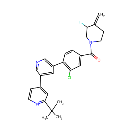 C=C1CCN(C(=O)c2ccc(-c3cncc(-c4ccnc(C(C)(C)C)c4)c3)c(Cl)c2)CC1F